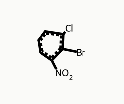 O=[N+]([O-])c1cccc(Cl)c1Br